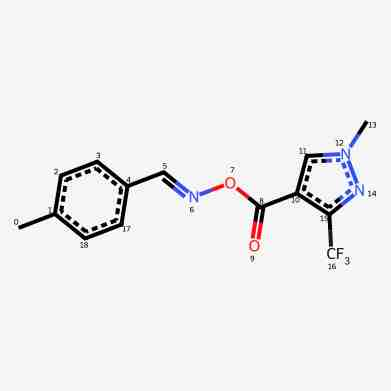 Cc1ccc(/C=N/OC(=O)c2cn(C)nc2C(F)(F)F)cc1